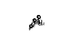 O=C(NO)C(c1ccccc1)c1cccc(OCc2ccc(F)cc2F)c1